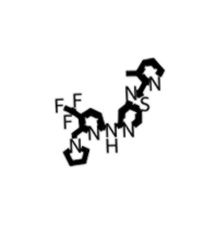 Cc1cccnc1-c1nc2cc(Nc3ccc(C(F)(F)F)c(CN4CCCC4)n3)ncc2s1